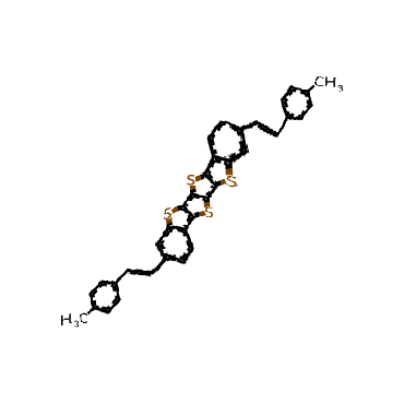 Cc1ccc(C=Cc2ccc3c(c2)sc2c3sc3c4sc5cc(C=Cc6ccc(C)cc6)ccc5c4sc23)cc1